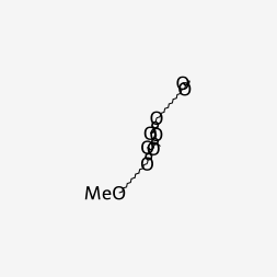 C=CC(=O)OCCCCCCCCCCCCOc1ccc(C(=O)Oc2ccc(OC(=O)c3ccc(OCCCCCCCCCCCCOC)cc3)c(C)c2)cc1